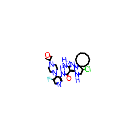 Nc1nn2c(c1C(=O)Nc1cncc(F)c1N1CCN(C3COC3)CC1)NCC(Cl)C21CCCCCCCCC1